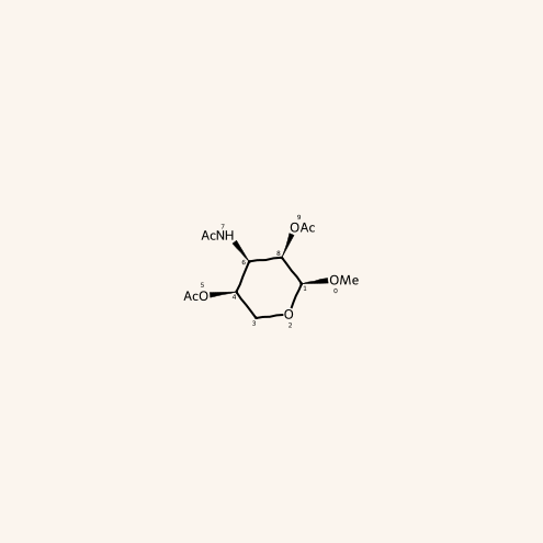 CO[C@H]1OC[C@@H](OC(C)=O)[C@@H](NC(C)=O)[C@H]1OC(C)=O